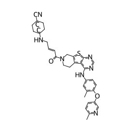 Cc1ccc(Oc2ccc(Nc3ncnc4sc5c(c34)CCN(C(=O)/C=C/CNC34CCC(C#N)(CC3)CC4)C5)cc2C)cn1